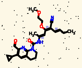 CC/C=C/C(C#N)=C(\C=C(/C)NC(=O)N1CCCc2cc(C3CC3)c(C=O)nc21)OCCOC